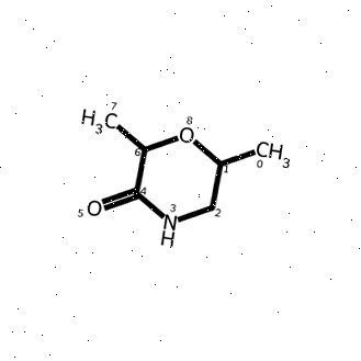 CC1CNC(=O)C(C)O1